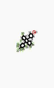 COc1ccc(-c2c3cc(F)ccc3c(-c3c(F)c(F)c(C(F)(F)F)c(F)c3F)c3cc(F)c(F)cc23)cc1